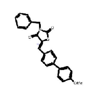 COc1ccc(-c2ccc(/C=C3\SC(=O)N(Cc4ccccc4)C3=O)cc2)cc1